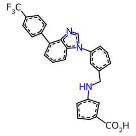 O=C(O)c1cccc(NCc2cccc(-n3cnc4c(-c5ccc(C(F)(F)F)cc5)cccc43)c2)c1